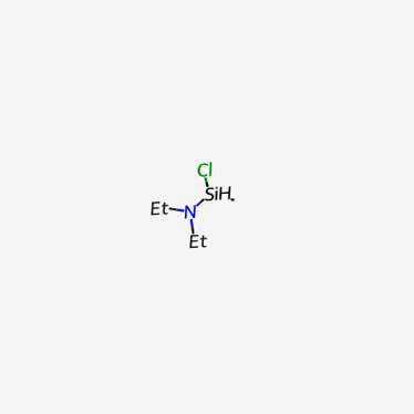 CCN(CC)[SiH](C)Cl